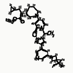 CC(n1cc(-c2cncc(N3CC4(C3)CC4(F)F)c2)nn1)n1ccc(N2CCC[C@@H](N(CC3CC3)C(=O)OC(C)(C)C)C2)cc1=O